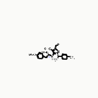 CN/C(Cc1ccc(OC)cc1)=N\c1c(C=O)c(CF)nn1C(C)c1ccc(C(F)(F)F)cc1